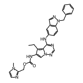 CCc1c(NC(=O)OCc2nccn2C)cn2ncnc(Nc3ccc4c(cnn4Cc4ccccc4)c3)c12